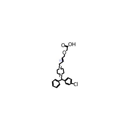 O=C(O)COC/C=C/CN1CCN(C(c2ccccc2)c2ccc(Cl)cc2)CC1